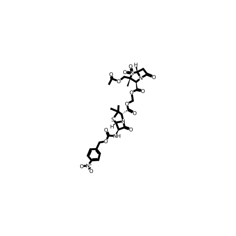 CC(=O)OC[C@@]1(C)[C@H](C(=O)OCOC(=O)[C@@H]2N3C(=O)[C@@H](NC(=O)OCc4ccc([N+](=O)[O-])cc4)[C@H]3SC2(C)C)N2C(=O)C[C@H]2S1(=O)=O